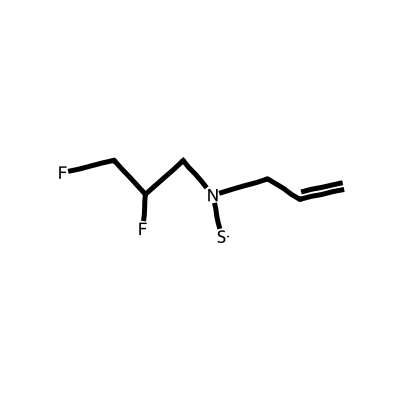 C=CCN([S])CC(F)CF